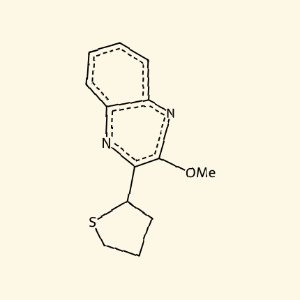 COc1nc2ccccc2nc1C1CCCS1